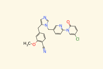 COc1cc(Cc2cncn2Cc2ccc(-n3cc(Cl)ccc3=O)nc2)ccc1C#N